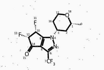 C[C@@H]1C[C@H](n2nc(C(F)(F)F)c3c2[C@@H](F)[C@@H](F)C3=O)CCO1